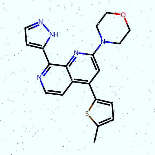 Cc1ccc(-c2cc(N3CCOCC3)nc3c(-c4ccn[nH]4)nccc23)s1